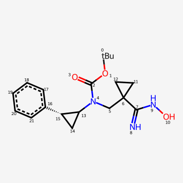 CC(C)(C)OC(=O)N(CC1(C(=N)NO)CC1)C1C[C@@H]1c1ccccc1